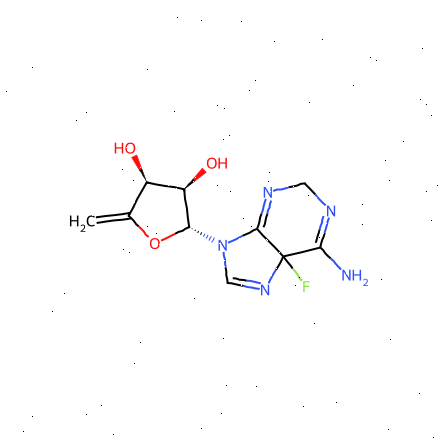 C=C1O[C@@H](N2C=NC3(F)C(N)=NCN=C23)[C@H](O)[C@@H]1O